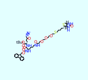 CC(C)(C)OC(=O)[C@H](CCC(=O)C=[N+]=[N-])NC(=O)C(CCCCNC(=O)CCOCCOCCOCCSCCCCC[C@@H]1SC[C@@H]2NC(=O)N[C@@H]21)NC(=O)OCC1c2ccccc2-c2ccccc21